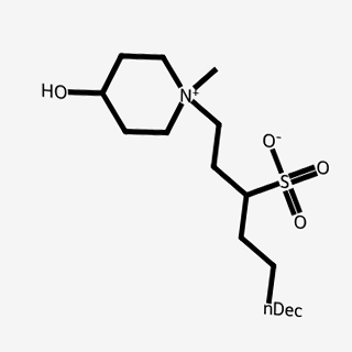 CCCCCCCCCCCCC(CC[N+]1(C)CCC(O)CC1)S(=O)(=O)[O-]